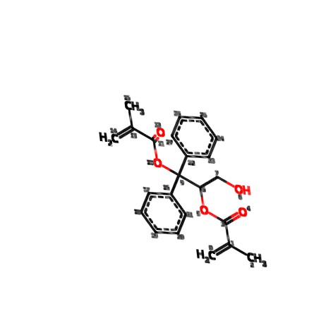 C=C(C)C(=O)OC(CO)C(OC(=O)C(=C)C)(c1ccccc1)c1ccccc1